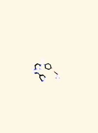 CN(C)C(=O)CO[C@H]1CC[C@H](Nc2ccc3ncc(-c4ccncc4)n3n2)CC1